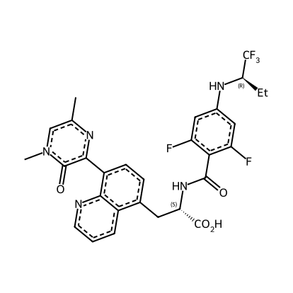 CC[C@@H](Nc1cc(F)c(C(=O)N[C@@H](Cc2ccc(-c3nc(C)cn(C)c3=O)c3ncccc23)C(=O)O)c(F)c1)C(F)(F)F